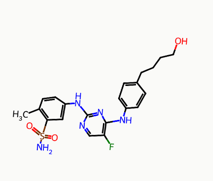 Cc1ccc(Nc2ncc(F)c(Nc3ccc(CCCCO)cc3)n2)cc1S(N)(=O)=O